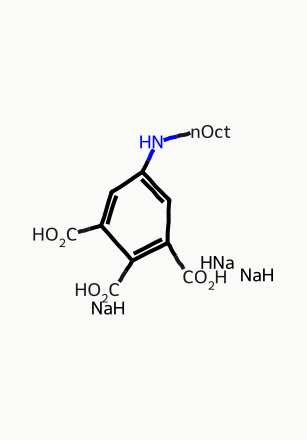 CCCCCCCCNc1cc(C(=O)O)c(C(=O)O)c(C(=O)O)c1.[NaH].[NaH].[NaH]